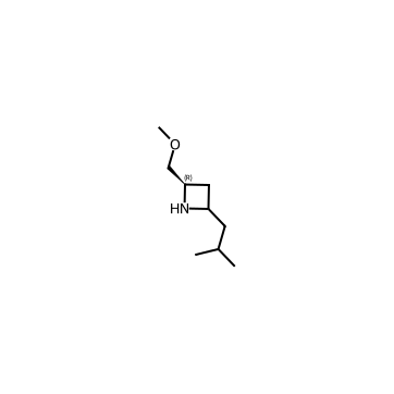 COC[C@H]1CC(CC(C)C)N1